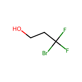 OCCC(F)(F)Br